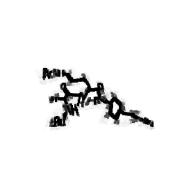 CC(=O)NCCCC(NC(=O)C(NC(C)(C)C)C(C)C)C(=O)Nc1ccc(CC(C)(C)C)cc1